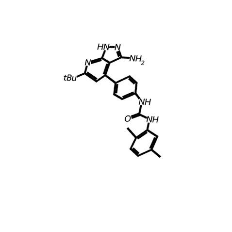 Cc1ccc(C)c(NC(=O)Nc2ccc(-c3cc(C(C)(C)C)nc4[nH]nc(N)c34)cc2)c1